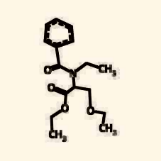 CCOCC(C(=O)OCC)N(CC)C(=O)c1ccccc1